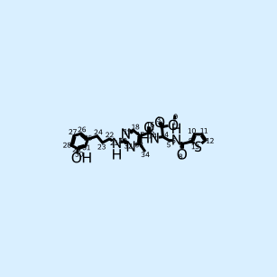 COC(=O)C(CNC(=O)c1cccs1)NC(=O)c1cnc(NCCCc2cccc(O)c2)nc1C